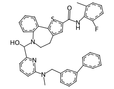 Cc1cccc(F)c1NC(=O)c1cc2c(s1)-c1ccccc1N(C(O)c1cccc(N(C)Cc3cccc(-c4ccccc4)c3)n1)CC2